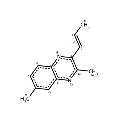 C/C=C/c1nc2ccc(C)cc2nc1C